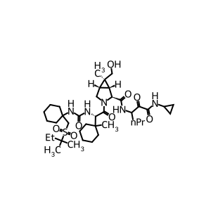 CCCC(NC(=O)[C@@H]1[C@@H]2[C@H](CN1C(=O)[C@@H](NC(=O)NC1(CS(=O)(=O)C(C)(C)CC)CCCCC1)C1(C)CCCCC1)[C@@]2(C)CO)C(=O)C(=O)NC1CC1